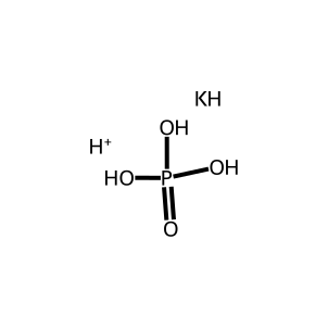 O=P(O)(O)O.[H+].[KH]